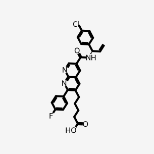 C=C[C@H](NC(=O)c1cnc2nc(-c3ccc(F)cc3)c(CCCCC(=O)O)cc2c1)c1ccc(Cl)cc1